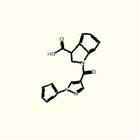 O=C(O)C1CN(C(=O)c2cnn(-c3ccccc3)c2)c2ccccc21